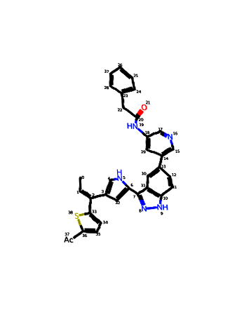 C/C=C(\c1c[nH]c(-c2n[nH]c3ccc(-c4cncc(NC(=O)Cc5ccccc5)c4)cc23)c1)c1ccc(C(C)=O)s1